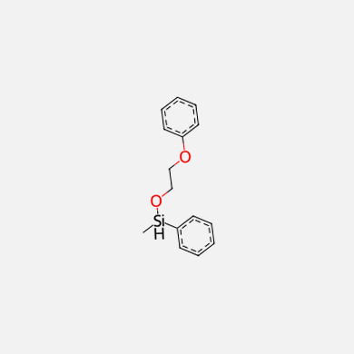 C[SiH](OCCOc1ccccc1)c1ccccc1